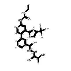 CCNC(=O)Nc1cc(-c2nc(C(F)(F)F)cs2)c(-c2cncc(C(=O)NNC(=O)C(C)O)c2)cn1